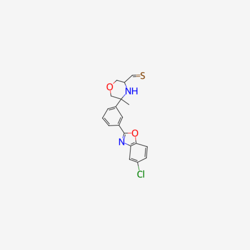 CC1(c2cccc(-c3nc4cc(Cl)ccc4o3)c2)COCC(C=S)N1